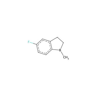 CB1CCc2cc(F)ccc21